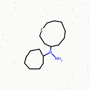 NN(C1CCCCCCCCC1)C1CCCCCCC1